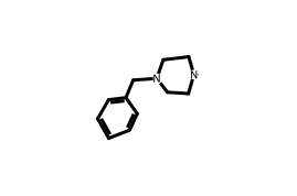 c1ccc(CN2CC[N]CC2)cc1